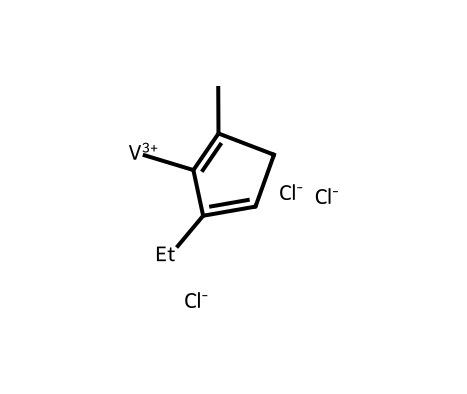 CCC1=CCC(C)=[C]1[V+3].[Cl-].[Cl-].[Cl-]